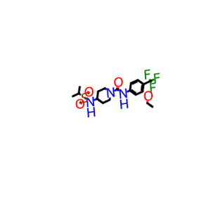 CCOc1cc(NC(=O)N2CCC(NS(=O)(=O)C(C)C)CC2)ccc1C(F)(F)F